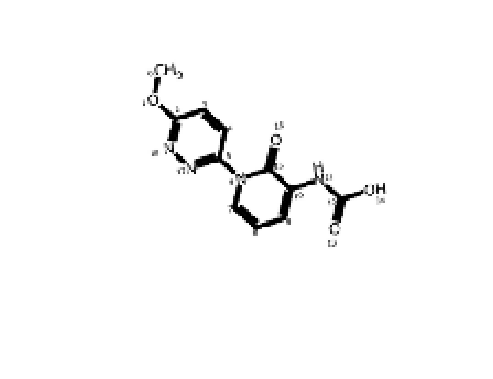 COc1ccc(-n2cccc(NC(=O)O)c2=O)nn1